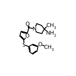 COc1cccc(Sc2ccc(C(=O)N3CCC(C)(N)CC3)o2)c1